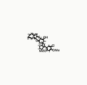 COc1cc(OC)c(CCC2(C3CCCC3)CC(O)=C(Sc3nc4ncc(C)cn4n3)C(=O)O2)cc1Cl